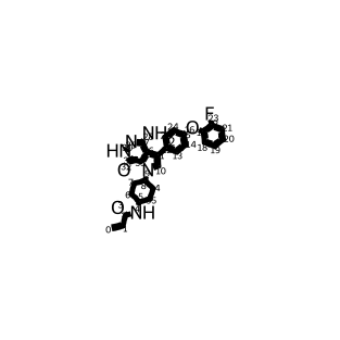 C=CC(=O)NC1CCC(n2cc(-c3ccc(Oc4ccccc4F)cc3)c3c(N)n[nH]c(=O)c32)CC1